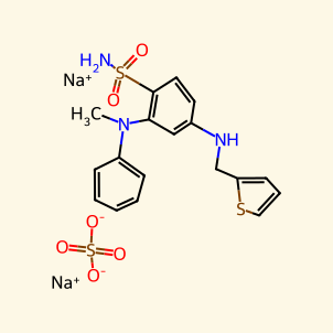 CN(c1ccccc1)c1cc(NCc2cccs2)ccc1S(N)(=O)=O.O=S(=O)([O-])[O-].[Na+].[Na+]